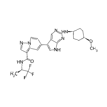 CO[C@H]1CC[C@@H](Nc2ncc3c(-c4ccn5ncc(C(=O)N[C@H](C)C(F)(F)F)c5c4)c[nH]c3n2)CC1